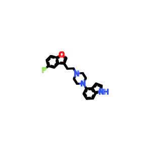 Fc1ccc2occ(CCN3CCN(c4cccc5[nH]ccc45)CC3)c2c1